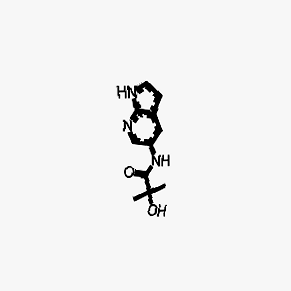 CC(C)(O)C(=O)Nc1cnc2[nH]ccc2c1